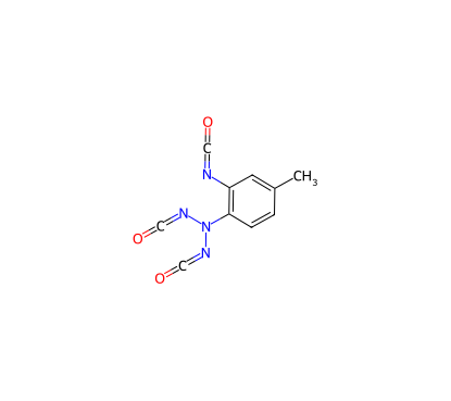 Cc1ccc(N(N=C=O)N=C=O)c(N=C=O)c1